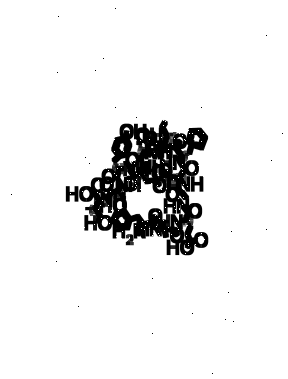 CC[C@H](C)[C@H](NC(=O)[C@H](CO)NC(=O)[C@H](Cc1ccc(O)cc1)NC(=O)[C@H](CC(=O)O)NC(=O)[C@H](CO)NC(=O)[C@@H](NC(=O)[C@H](Cc1ccccc1)NC(=O)[C@@H](NC(=O)CNC(=O)[C@H](CCC(=O)O)NC(=O)C(C)(C)NC(=O)[C@@H](N)Cc1ccc(O)cc1)[C@@H](C)O)[C@@H](C)CC)C(=O)O